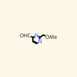 COCc1nccc(C=O)n1